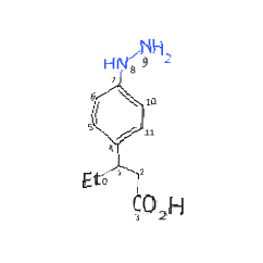 CCC(CC(=O)O)c1ccc(NN)cc1